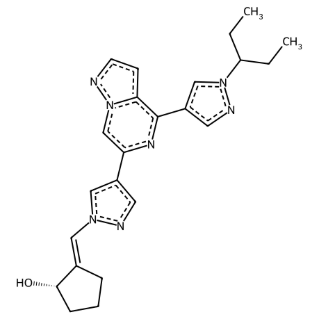 CCC(CC)n1cc(-c2nc(-c3cnn(/C=C4\CCC[C@@H]4O)c3)cn3nccc23)cn1